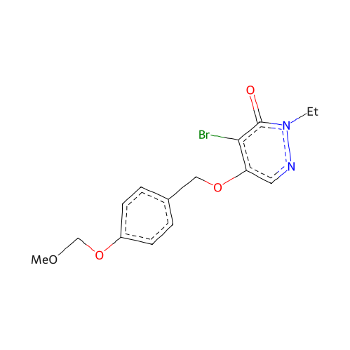 CCn1ncc(OCc2ccc(OCOC)cc2)c(Br)c1=O